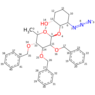 CC1O[C@@H](OC2C(N=[N+]=[N-])CCC[C@H]2O)C(OCc2ccccc2)C(OCc2ccccc2)[C@@H]1OCc1ccccc1